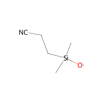 C[Si](C)([O])CCC#N